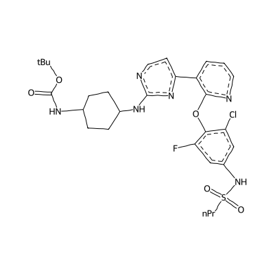 CCCS(=O)(=O)Nc1cc(F)c(Oc2ncccc2-c2ccnc(NC3CCC(NC(=O)OC(C)(C)C)CC3)n2)c(Cl)c1